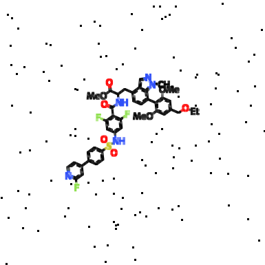 CCOCc1cc(OC)c(-c2ccc(CC(NC(=O)c3c(F)cc(NS(=O)(=O)c4ccc(-c5ccnc(F)c5)cc4)cc3F)C(=O)OC)c3cnn(C)c23)c(OC)c1